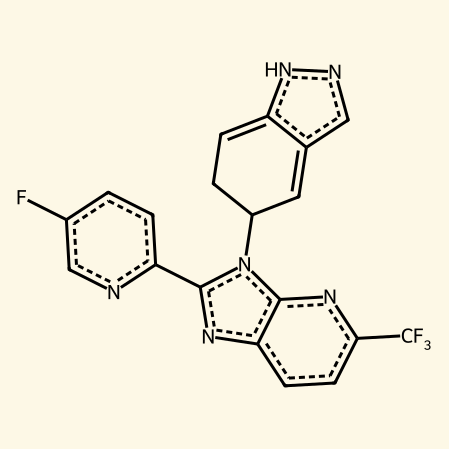 Fc1ccc(-c2nc3ccc(C(F)(F)F)nc3n2C2C=c3cn[nH]c3=CC2)nc1